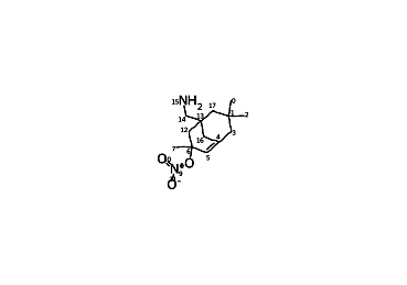 CC1(C)CC2=CC(C)(O[N+](=O)[O-])CC(CN)(C2)C1